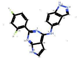 Fc1ccc(-c2nc(Nc3ccc4[nH]ncc4c3)c3cc[nH]c3n2)c(F)c1